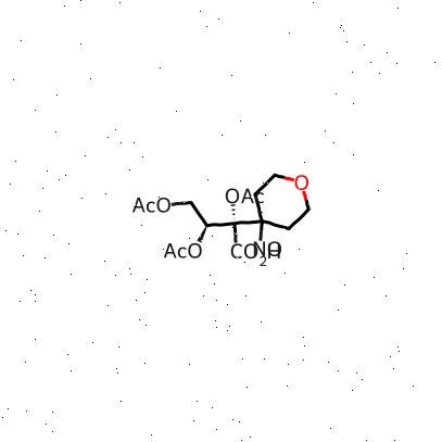 CC(=O)OC[C@H](OC(C)=O)[C@](OC(C)=O)(C(=O)O)C1(N=O)CCOCC1